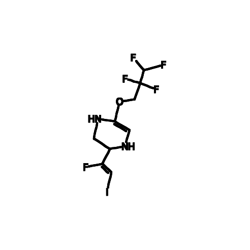 F/C(=C\I)C1CNC(OCC(F)(F)C(F)F)=CN1